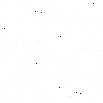 COC1CCCC(NC(=O)c2ccccn2)C1